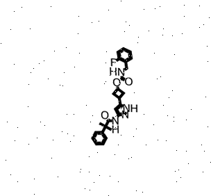 CC(C)(C(=O)Nc1cc(C2CC(OC(=O)NCc3ccccc3F)C2)[nH]n1)c1ccccc1